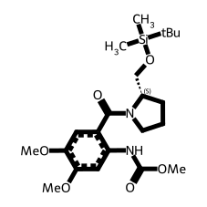 COC(=O)Nc1cc(OC)c(OC)cc1C(=O)N1CCC[C@H]1CO[Si](C)(C)C(C)(C)C